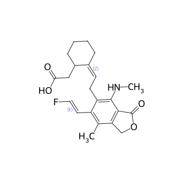 CNc1c(C/C=C2/CCCCC2CC(=O)O)c(/C=C/F)c(C)c2c1C(=O)OC2